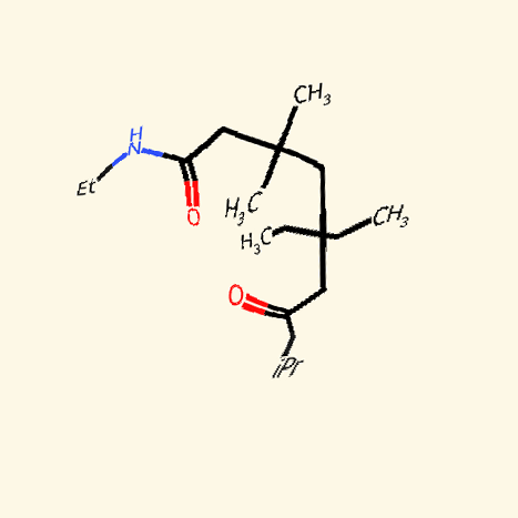 CCNC(=O)CC(C)(C)CC(C)(C)CC(=O)C(C)C